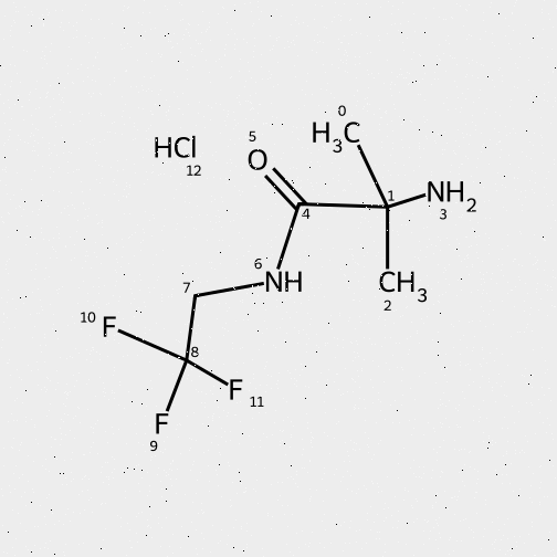 CC(C)(N)C(=O)NCC(F)(F)F.Cl